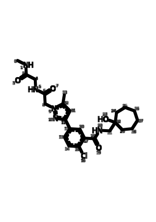 CNC(=O)CNC(=O)Cn1nc(-c2ccc(Cl)c(C(=O)NCC3(O)CCCCCC3)c2)cc1C